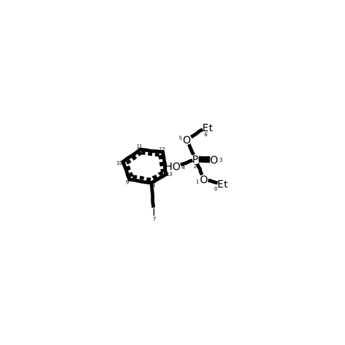 CCOP(=O)(O)OCC.Ic1ccccc1